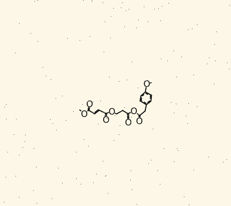 COC(=O)C=CC(=O)OCCC(=O)OC(=O)Cc1ccc(OC)cc1